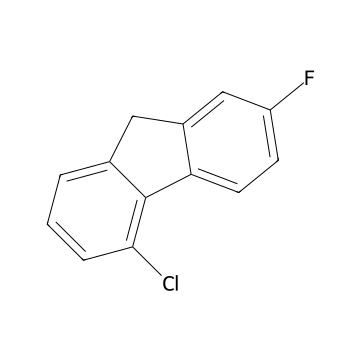 Fc1ccc2c(c1)Cc1cccc(Cl)c1-2